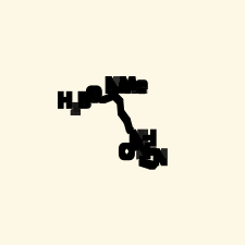 BOCC(CCCCNC(=O)n1ccnc1)NC